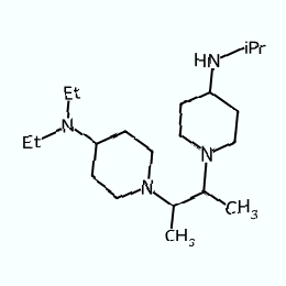 CCN(CC)C1CCN(C(C)C(C)N2CCC(NC(C)C)CC2)CC1